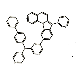 c1ccc(-c2ccc(N(c3ccncc3)c3cccc(-c4ccc5c(-c6ccccc6)c6ccc7ccccc7n6c5c4)c3)cc2)cc1